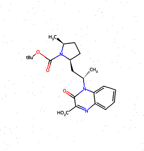 C[C@H]1CC[C@@H](C[C@H](C)n2c(=O)c(C(=O)O)nc3ccccc32)N1C(=O)OC(C)(C)C